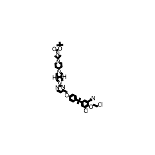 CC(C)(C)OC(=O)N1CC(N2CCC(N3C[C@H]4CN(c5nccc(COc6ccc(C(C)(C)c7cc(Cl)c(OCCCl)c(C#N)c7)cc6)n5)C[C@H]4C3)CC2)C1